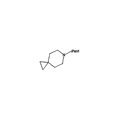 CCCC(C)N1CCC2(CC1)CC2